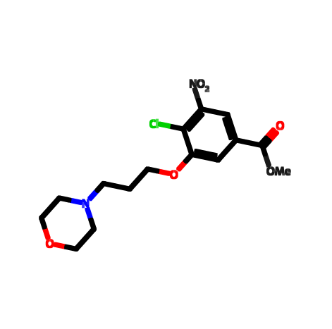 COC(=O)c1cc(OCCCN2CCOCC2)c(Cl)c([N+](=O)[O-])c1